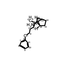 CN(CCCOc1ccccc1)[C@H]1C2CC[C@@H]1C(N)C2